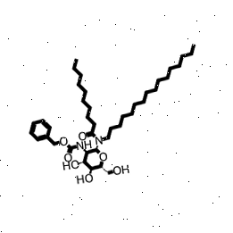 CCCCCCCCCCCCCCCCN(C(=O)CCCCCCCCC)[C@@H]1O[C@H](CO)[C@@H](O)[C@H](O)[C@H]1NC(=O)OCc1ccccc1